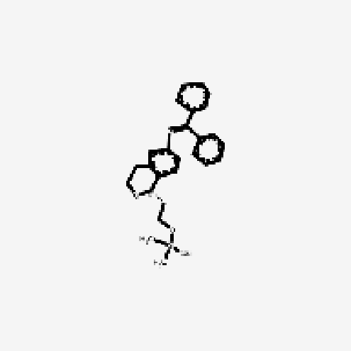 CC(C)(C)[Si](C)(C)OCC[C@@H]1OCCc2cc(N=C(c3ccccc3)c3ccccc3)ccc21